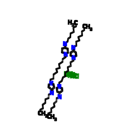 CCCCCCCCN=c1ccn(CCCCCCCCCCn2ccc(=NCCCCCCCC)cc2)cc1.CCCCCCCCN=c1ccn(CCCCCCCCCCn2ccc(=NCCCCCCCC)cc2)cc1.Cl.Cl.Cl.Cl